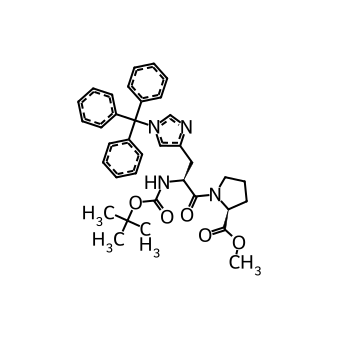 COC(=O)[C@@H]1CCCN1C(=O)[C@H](Cc1cn(C(c2ccccc2)(c2ccccc2)c2ccccc2)cn1)NC(=O)OC(C)(C)C